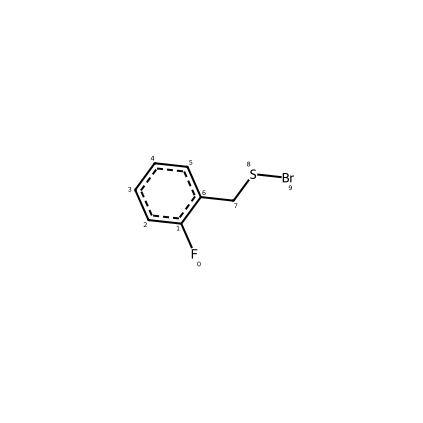 Fc1ccccc1CSBr